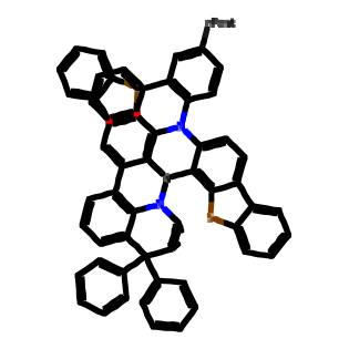 CCCCCc1ccc(N2c3ccc4c(sc5ccccc54)c3B3c4c(cc5c(sc6ccccc65)c42)-c2cccc4c2N3c2ccccc2C4(c2ccccc2)c2ccccc2)c(-c2ccccc2)c1